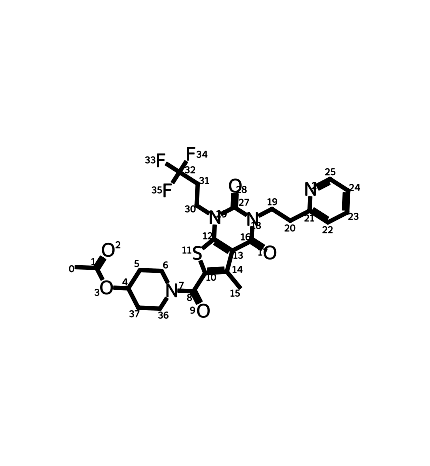 CC(=O)OC1CCN(C(=O)c2sc3c(c2C)c(=O)n(CCc2ccccn2)c(=O)n3CCC(F)(F)F)CC1